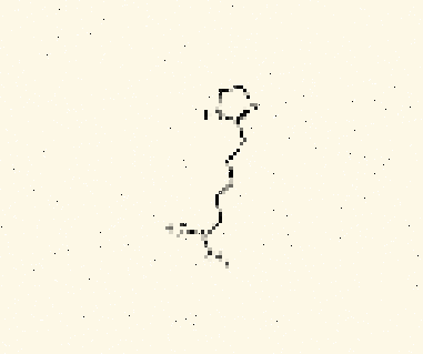 CN(C)CCCCSC1=NCCN1